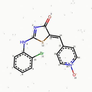 O=C1N=C(Nc2ccccc2Br)S/C1=C\c1cc[n+]([O-])cc1